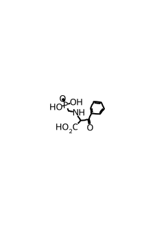 O=C(O)C(NCP(=O)(O)O)C(=O)c1ccccc1